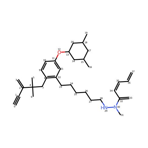 C#CC(=C)C(C)(C)Cc1ccc(OC2CC(C)CC(C)C2)cc1CCCCCCNN(C)C(=C)/C=C\C=C